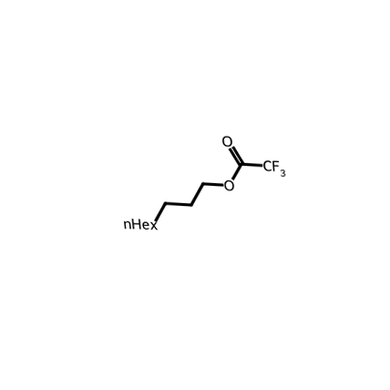 CCCCCCCCCOC(=O)C(F)(F)F